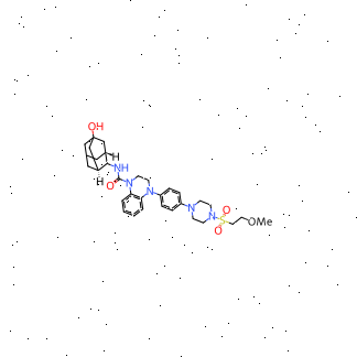 COCCS(=O)(=O)N1CCN(c2ccc(N3CCN(C(=O)NC4[C@@H]5CC6C[C@H]4CC(O)(C6)C5)c4ccccc43)cc2)CC1